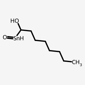 CCCCCCC[CH](O)[SnH]=[O]